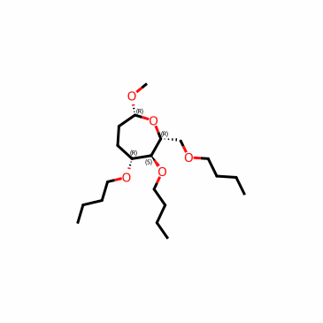 CCCCOC[C@H]1O[C@@H](OC)CC[C@@H](OCCCC)[C@@H]1OCCCC